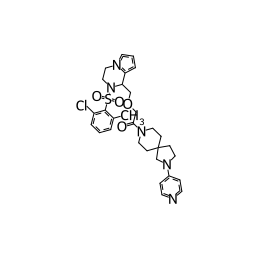 Cc1cccc(Cl)c1S(=O)(=O)N1CCn2cccc2C1COCC(=O)N1CCC2(CC1)CCN(c1ccncc1)C2